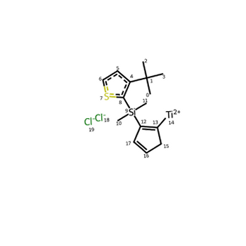 CC(C)(C)c1ccsc1[Si](C)(C)C1=[C]([Ti+2])CC=C1.[Cl-].[Cl-]